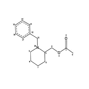 CC(=O)OCC1CCCCN1Cc1ccccc1